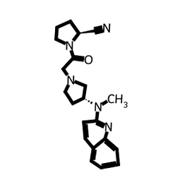 CN(c1ccc2ccccc2n1)[C@@H]1CCN(CC(=O)N2CCC[C@H]2C#N)C1